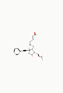 CCCCCC(O)/C=C/C1C(O)CC2(C#Cc3ccccc3)N=C(CCCC(=O)S)CC12